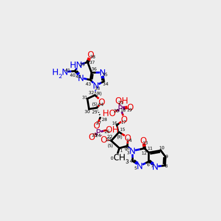 CC1[C@H](n2cnc3ncccc3c2=O)O[C@H](COP(=O)(O)O)[C@H]1OP(=O)(O)OC[C@@H]1CC[C@H](n2cnc3c(=O)[nH]c(N)nc32)O1